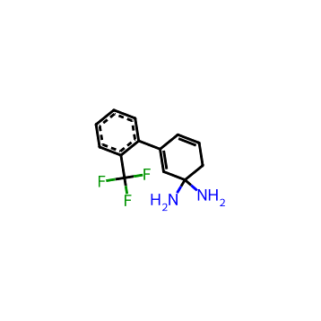 NC1(N)C=C(c2ccccc2C(F)(F)F)C=CC1